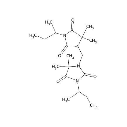 CCC(C)N1C(=O)N(CN2C(=O)N(C(C)CC)C(=O)C2(C)C)C(C)(C)C1=O